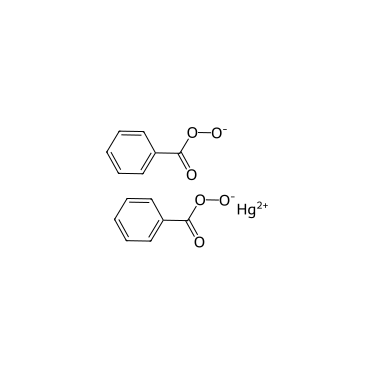 O=C(O[O-])c1ccccc1.O=C(O[O-])c1ccccc1.[Hg+2]